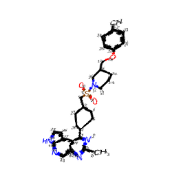 Cc1nc(C2CCC(CS(=O)(=O)N3CCCC(COc4ccc(C#N)cc4)C3)CC2)c2c(cnc3[nH]ccc32)n1